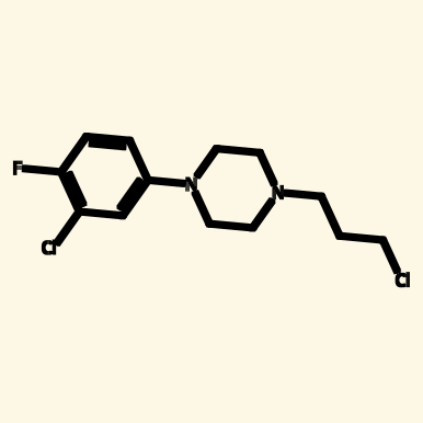 Fc1ccc(N2CCN(CCCCl)CC2)cc1Cl